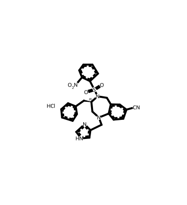 Cl.N#Cc1ccc2c(c1)CN(S(=O)(=O)c1ccccc1[N+](=O)[O-])[C@H](Cc1ccccc1)CN2Cc1c[nH]cn1